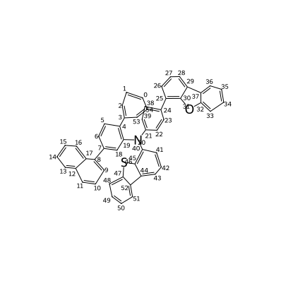 c1ccc(-c2ccc(-c3cccc4ccccc34)cc2N(c2ccc(-c3cccc4c3oc3ccccc34)cc2)c2cccc3c2sc2ccccc23)cc1